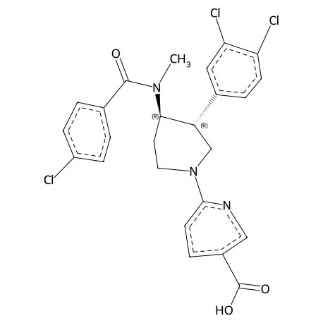 CN(C(=O)c1ccc(Cl)cc1)[C@@H]1CCN(c2ccc(C(=O)O)cn2)C[C@H]1c1ccc(Cl)c(Cl)c1